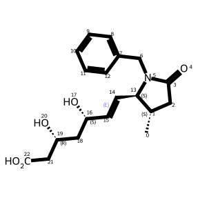 C[C@H]1CC(=O)N(Cc2ccccc2)[C@@H]1/C=C/[C@@H](O)C[C@@H](O)CC(=O)O